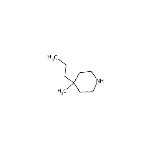 CCCC1(C)CCNCC1